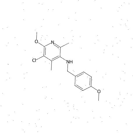 COc1ccc(CNc2c(C)nc(OC)c(Cl)c2C)cc1